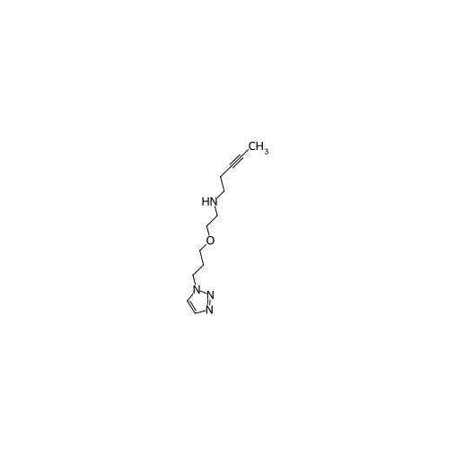 CC#CCCNCCOCCCn1ccnn1